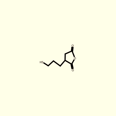 O=C1CC(CCCS)C(=O)O1